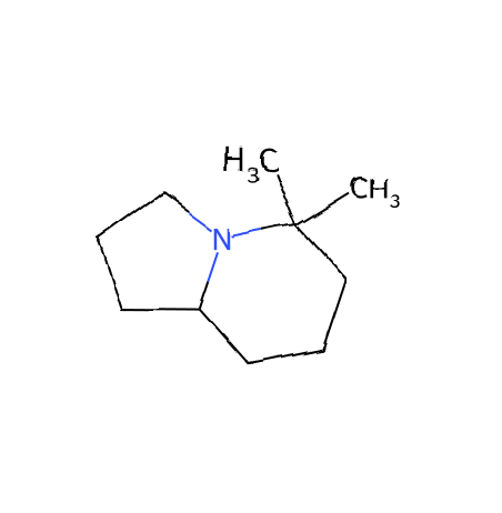 CC1(C)CCCC2CCCN21